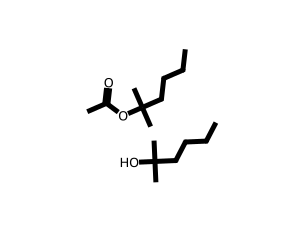 CCCCC(C)(C)O.CCCCC(C)(C)OC(C)=O